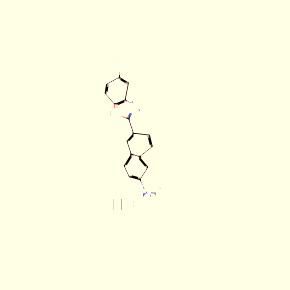 CN(C)c1ccc2cc(-c3nc4cc(F)ccc4o3)ccc2c1